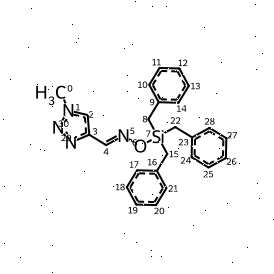 Cn1cc(C=NO[Si](Cc2ccccc2)(Cc2ccccc2)Cc2ccccc2)nn1